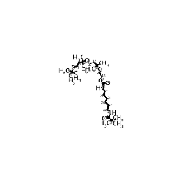 CC(C)(C)OCCC(C)(C)OCCC(C)(C)OCCOC(=O)NCCCCCCNC(=O)C(C)(C)C